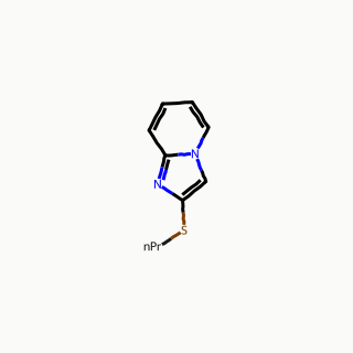 CCCSc1cn2ccccc2n1